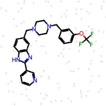 FC(F)(F)Oc1cccc(CN2CCN(Cc3ccc4[nH]c(-c5cccnc5)nc4c3)CC2)c1